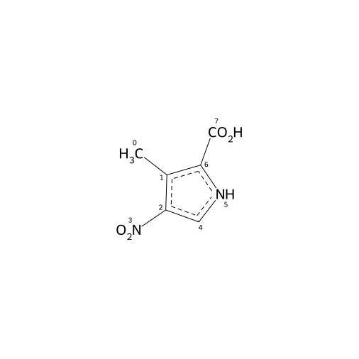 Cc1c([N+](=O)[O-])c[nH]c1C(=O)O